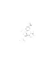 O=C1O[C@@H](CN2CCCCC2)[C@H](c2cccc(F)c2)N1c1ccc(C(F)(F)F)cc1